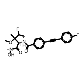 COC(C)(C(F)F)[C@H](NC(=O)c1ccc(C#Cc2ccc(F)cc2)cc1)C(=O)NO